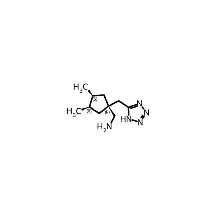 C[C@@H]1C[C@@](CN)(Cc2nnn[nH]2)C[C@@H]1C